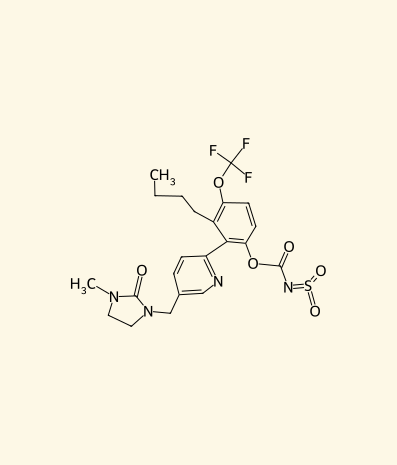 CCCCc1c(OC(F)(F)F)ccc(OC(=O)N=S(=O)=O)c1-c1ccc(CN2CCN(C)C2=O)cn1